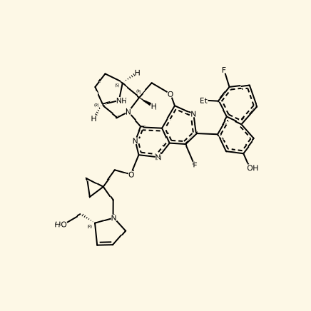 CCc1c(F)ccc2cc(O)cc(-c3nc4c5c(nc(OCC6(CN7CC=C[C@@H]7CO)CC6)nc5c3F)N3C[C@H]5CC[C@H](N5)[C@@H]3CO4)c12